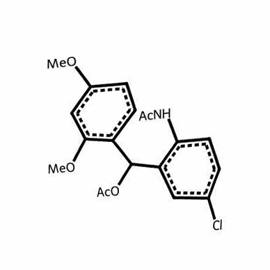 COc1ccc(C(OC(C)=O)c2cc(Cl)ccc2NC(C)=O)c(OC)c1